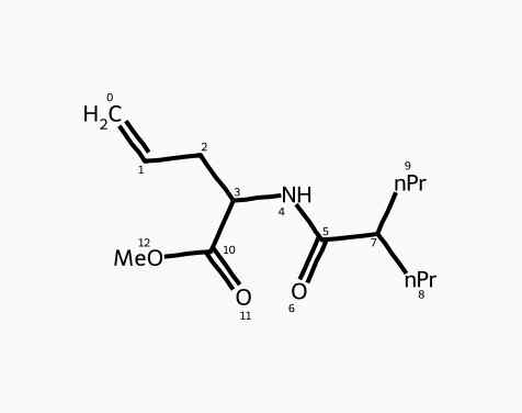 C=CCC(NC(=O)C(CCC)CCC)C(=O)OC